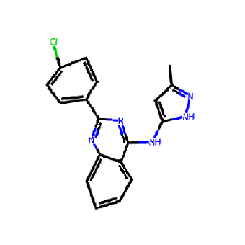 Cc1cc(Nc2nc(-c3ccc(Cl)cc3)nc3ccccc23)[nH]n1